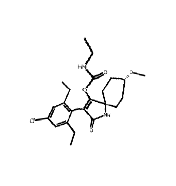 CCNC(=O)OC1=C(c2c(CC)cc(Cl)cc2CC)C(=O)N[C@]12CC[C@@H](OC)CC2